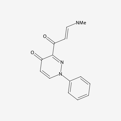 CNC=CC(=O)c1nn(-c2ccccc2)ccc1=O